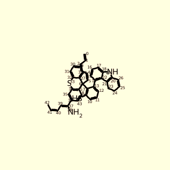 C=C/C=C\C=C/C1(c2c(S)cccc2-c2cccc3[nH]c4c(c23)CCC=C4)c2ccccc2Sc2cc(/C(N)=C/C=C\C)ccc21